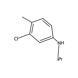 Cc1ccc(NC(C)C)cc1Cl